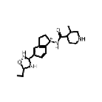 CCC1NC(c2ccc3c(c2)CC[C@H]3NC(=O)C2CCNCC2C)NO1